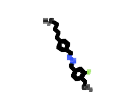 CCCCCc1ccc(C=NN=Cc2ccc(CC)c(F)c2)cc1